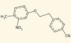 Cc1ccc(OCCc2ccc(C#N)cc2)cc1[N+](=O)[O-]